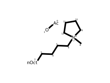 CC(=O)[O-].CCCCCCCCCCCC[N+]1(C)CCCC1